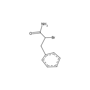 NC(=O)C(Br)Cc1cc[c]cc1